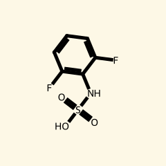 O=S(=O)(O)Nc1c(F)cccc1F